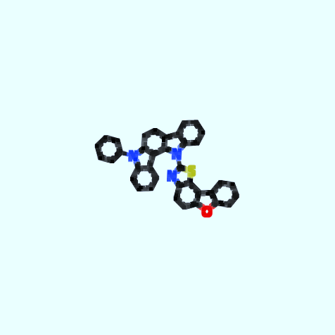 c1ccc(-n2c3ccccc3c3c2ccc2c4ccccc4n(-c4nc5ccc6oc7ccccc7c6c5s4)c23)cc1